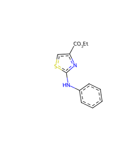 CCOC(=O)c1csc(Nc2ccccc2)n1